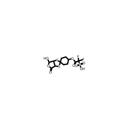 O=C1OC(O)C2SC3(CCC(OC(=O)C(F)(F)S(=O)(=O)O)CC3)SC12